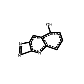 Oc1cccc2nc3c(cc12)N=N3